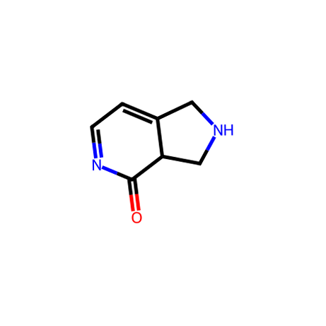 O=C1N=CC=C2CNCC12